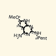 CCCC(C)Nc1nc(N)c2nc(OC)[nH]c2n1